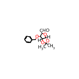 CC1(C)O[C@H]2O[C@H](C=O)[C@H](OCc3ccccc3)[C@H]2O1